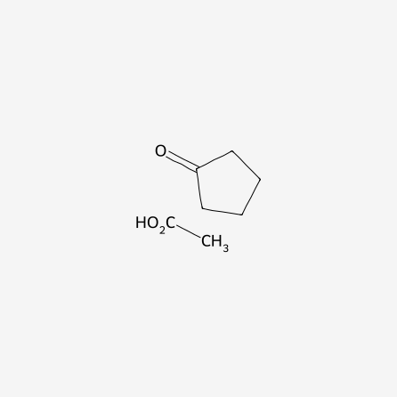 CC(=O)O.O=C1CCCC1